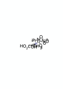 CC(C)c1nc2c(c(-c3ccc(F)cc3)c1/C=C/[C@@H](O)C[C@@H](O)CC(=O)O)CN(C(=O)c1ccco1)Cc1ccccc1-2